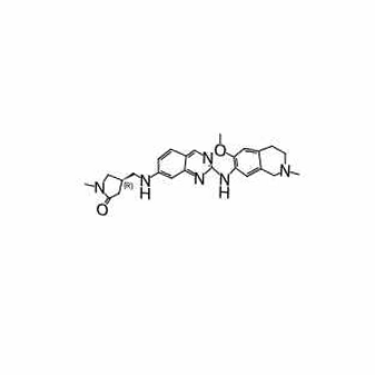 COc1cc2c(cc1Nc1ncc3ccc(NC[C@H]4CC(=O)N(C)C4)cc3n1)CN(C)CC2